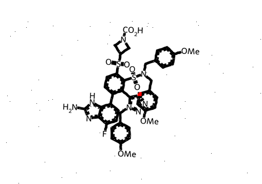 COc1ccc(CN(Cc2ccc(OC)cc2)S(=O)(=O)c2c(S(=O)(=O)C3CN(C(=O)O)C3)ccc(-c3ccc(F)c4nc(N)[nH]c34)c2-c2nnnn2Cc2ccc(OC)cc2)cc1